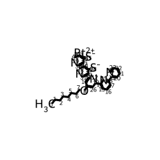 CCCCCCCCOc1ccnc(-c2cccc(-c3ccccn3)n2)c1.[Pt+2].[S-]c1ccncc1.[S-]c1ccncc1